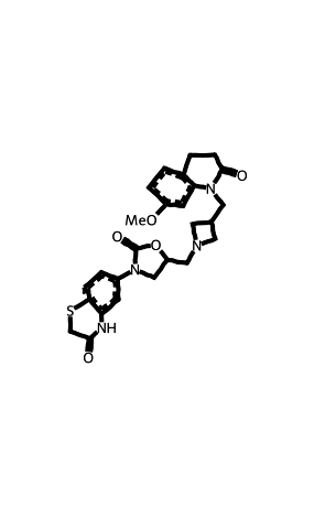 COc1ccc2c(c1)N(CC1CN(CC3CN(c4ccc5c(c4)NC(=O)CS5)C(=O)O3)C1)C(=O)CC2